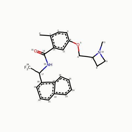 Cc1ccc(OCC2CCN2C)cc1C(=O)NC(c1cccc2ccccc12)C(F)(F)F